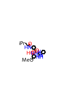 COc1cc(O)cc(Nc2nc3ccccc3nc2NS(=O)(=O)c2cccc(NC(=O)CCC(C)C)c2)c1